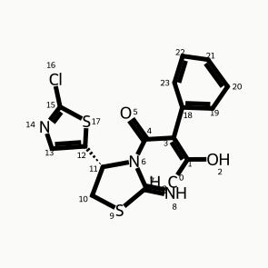 C/C(O)=C(\C(=O)N1C(=N)SC[C@@H]1c1cnc(Cl)s1)c1ccccc1